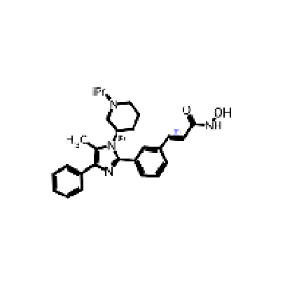 Cc1c(-c2ccccc2)nc(-c2cccc(/C=C/C(=O)NO)c2)n1[C@@H]1CCCN(C(C)C)C1